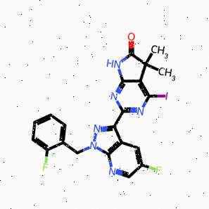 CC1(C)C(=O)Nc2nc(-c3nn(Cc4ccccc4F)c4ncc(F)cc34)nc(I)c21